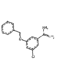 C=C(N)c1cc(Cl)cc(OCc2ccccc2)c1